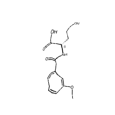 COc1cccc(C(=O)N[C@@H](CCO)C(=O)O)c1